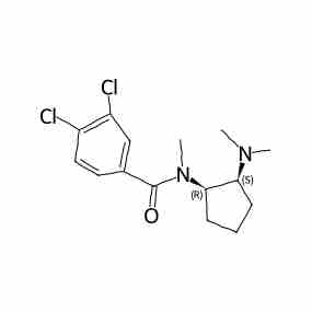 CN(C)[C@H]1CCC[C@H]1N(C)C(=O)c1ccc(Cl)c(Cl)c1